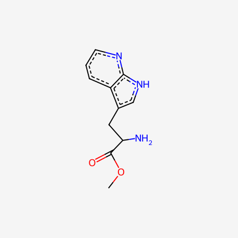 COC(=O)C(N)Cc1c[nH]c2ncccc12